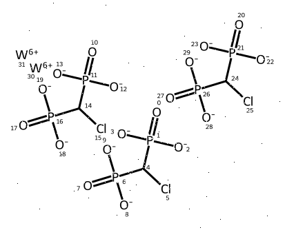 O=P([O-])([O-])C(Cl)P(=O)([O-])[O-].O=P([O-])([O-])C(Cl)P(=O)([O-])[O-].O=P([O-])([O-])C(Cl)P(=O)([O-])[O-].[W+6].[W+6]